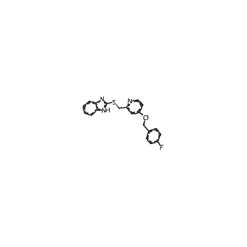 Fc1ccc(COc2ccnc(CSc3nc4ccccc4[nH]3)c2)cc1